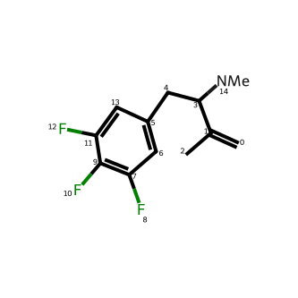 C=C(C)C(Cc1cc(F)c(F)c(F)c1)NC